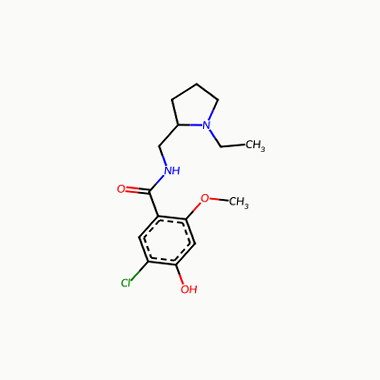 CCN1CCCC1CNC(=O)c1cc(Cl)c(O)cc1OC